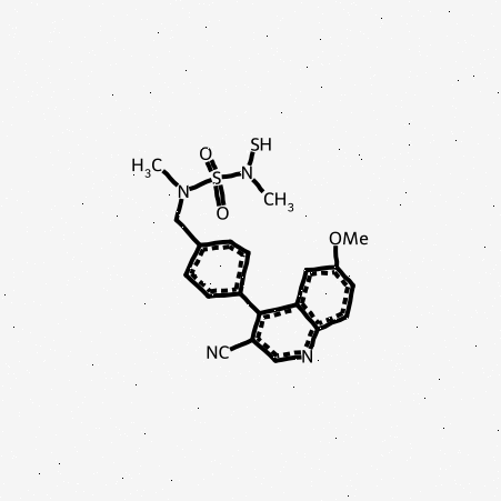 COc1ccc2ncc(C#N)c(-c3ccc(CN(C)S(=O)(=O)N(C)S)cc3)c2c1